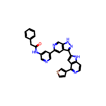 O=C(Cc1ccccc1)Nc1cncc(-c2cc3c(-c4cc5c(-c6ccsc6)nccc5[nH]4)n[nH]c3cn2)c1